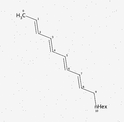 C/C=C/C=C/C=C/C=C/CCCCCCC